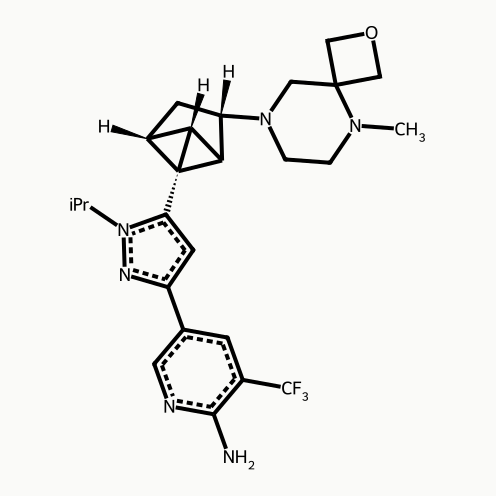 CC(C)n1nc(-c2cnc(N)c(C(F)(F)F)c2)cc1[C@]12C3[C@@H](N4CCN(C)C5(COC5)C4)C[C@@H]1[C@H]32